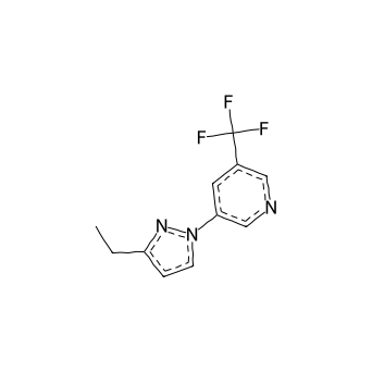 CCc1ccn(-c2cncc(C(F)(F)F)c2)n1